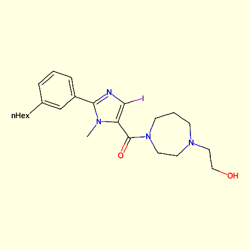 CCCCCCc1cccc(-c2nc(I)c(C(=O)N3CCCN(CCO)CC3)n2C)c1